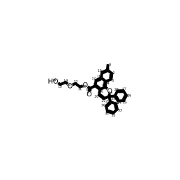 Cc1ccc2c3c(c(C(=O)OCCOCCO)cc2c1)C=CC(c1ccccc1)(c1ccccc1)O3